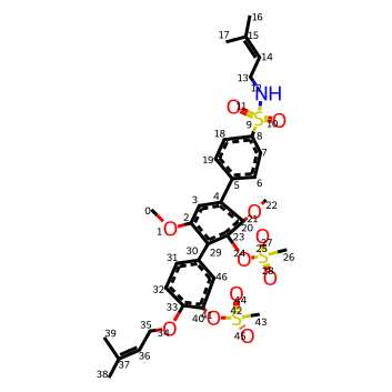 COc1cc(-c2ccc(S(=O)(=O)NCC=C(C)C)cc2)c(OC)c(OS(C)(=O)=O)c1-c1ccc(OCC=C(C)C)c(OS(C)(=O)=O)c1